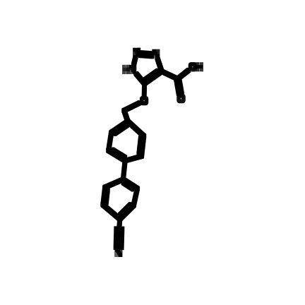 N#Cc1ccc(-c2ccc(COc3[nH]nnc3C(=O)O)cc2)cc1